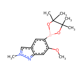 COc1cc2nn(C)cc2cc1B1OC(C)(C)C(C)(C)O1